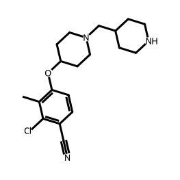 Cc1c(OC2CCN(CC3CCNCC3)CC2)ccc(C#N)c1Cl